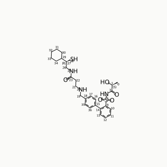 C[C@H](O)C(=O)NS(=O)(=O)c1ccccc1-c1ccc(CNCCC(=O)NC[C@H](S)C2CCCCC2)cc1